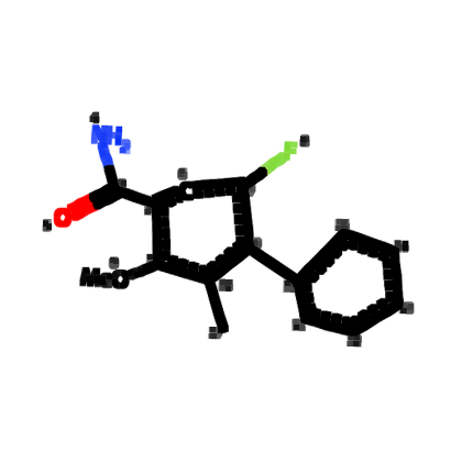 COc1c(C(N)=O)cc(F)c(-c2ccccc2)c1C